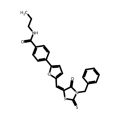 CCCNC(=O)c1ccc(-c2ccc(/C=C3/SC(=S)N(Cc4ccccc4)C3=O)o2)cc1